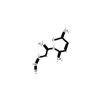 C=C(Cl)/C=C\C(=C)OC(=C)CN=[N+]=[N-]